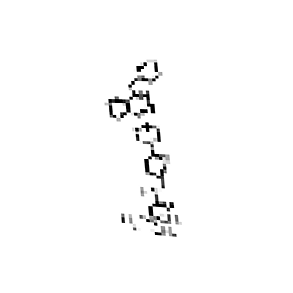 CC(C)(C)CC(=O)NCc1ccc(N2CCN(c3nnc(Cc4ccccc4)c4ccccc34)CC2)nc1